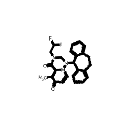 Cc1c2n(ccc1=O)N(C1c3ccccc3CCc3ccccc31)CN(CC(F)F)C2=O